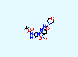 CC(C)(C)OC(=O)N[C@@H]1CCN(c2nc3nc(N4CCOCC4)oc3cc2[N+](=O)[O-])C1